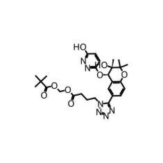 CC(C)(C)C(=O)OCOC(=O)CCCn1nnnc1-c1ccc2c(c1)[C@@H](Oc1ccc(O)nn1)[C@](C)(O)C(C)(C)O2